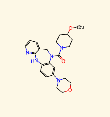 CC(C)(C)OC1CCN(C(=O)N2Cc3cccnc3Nc3ccc(N4CCOCC4)cc32)CC1